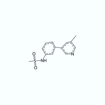 Cc1cncc(-c2cccc(NS(C)(=O)=O)c2)c1